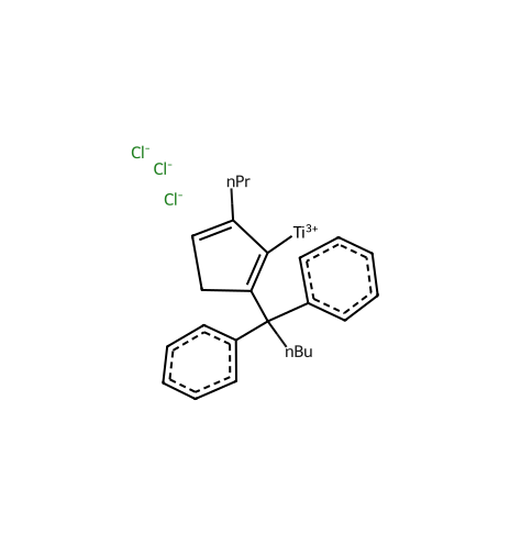 CCCCC(C1=[C]([Ti+3])C(CCC)=CC1)(c1ccccc1)c1ccccc1.[Cl-].[Cl-].[Cl-]